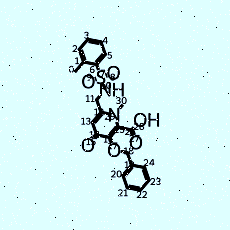 Cc1ccccc1S(=O)(=O)NCc1cc(=O)c(OCc2ccccc2)c(C(=O)O)n1C